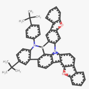 CC(C)(C)c1ccc(N2B3c4cc5c(cc4-n4c6ccc7c8ccccc8oc7c6c6ccc(c3c64)-c3cc(C(C)(C)C)ccc32)oc2ccccc25)cc1